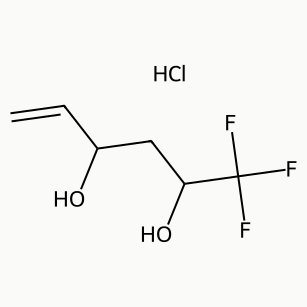 C=CC(O)CC(O)C(F)(F)F.Cl